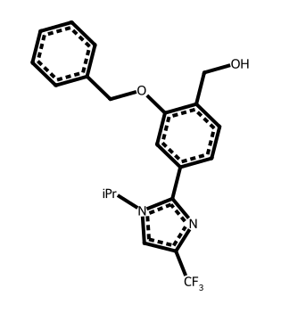 CC(C)n1cc(C(F)(F)F)nc1-c1ccc(CO)c(OCc2ccccc2)c1